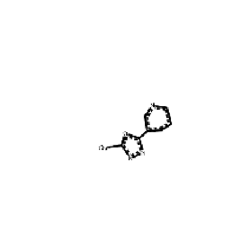 CC(C)(C)c1nnc(-c2cccnc2)o1